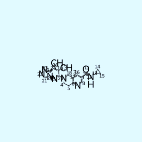 Cc1c(N2CCc3ncc(C(=O)NC4CC4)cc3C2)nn2cnnc2c1C